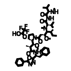 CC[C@H](C)[C@@H]([C@@H](CC(=O)N1CCC[C@H]1[C@H](OC)[C@@H](C)C(=O)N[C@@H](Cc1ccccc1)c1nnc(-c2ccccc2)o1)OC)N(C)[C@H](C(=O)NC(=O)[C@@H](NC)C(C)C)C(C)C.O=C(O)C(F)(F)F